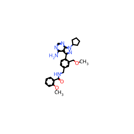 COCc1cc(CNC(=O)c2ccccc2OC)ccc1-c1nn(C2CCCC2)c2ncnc(N)c12